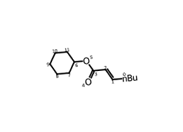 CCCCC=CC(=O)OC1CCCCC1